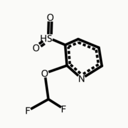 O=[SH](=O)c1cccnc1OC(F)F